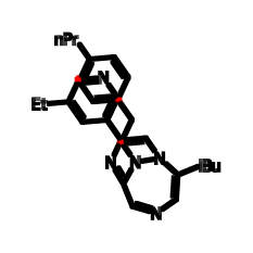 CCCc1ccc(CCN2C3=NC(c4cncc(CC)c4)=CN2C(C(C)CC)=CN=C3)cc1